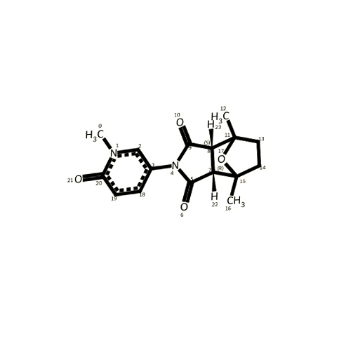 Cn1cc(N2C(=O)[C@@H]3[C@H](C2=O)C2(C)CCC3(C)O2)ccc1=O